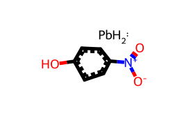 O=[N+]([O-])c1ccc(O)cc1.[PbH2]